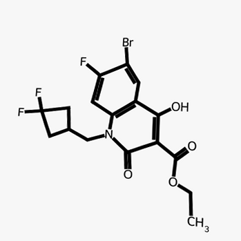 CCOC(=O)c1c(O)c2cc(Br)c(F)cc2n(CC2CC(F)(F)C2)c1=O